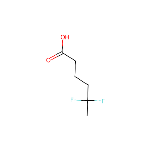 CC(F)(F)CCCC(=O)O